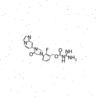 N=C(N)NC(=O)OCc1cccc(N2CCN(c3ccn4ccnc4c3)C(=O)C2)c1F